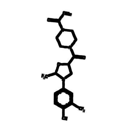 COC(=O)N1CCN(C(=O)C2CN(c3ccc(C#N)c(C(F)(F)F)c3)C(C(F)(F)F)O2)CC1